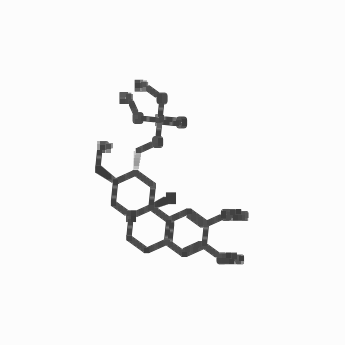 CCOP(=O)(OCC)OC[C@@H]1C[C@@H]2c3cc(OC)c(OC)cc3CCN2C[C@H]1CC(C)C